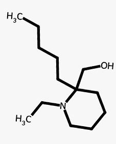 CCCCCC1(CO)CCCCN1CC